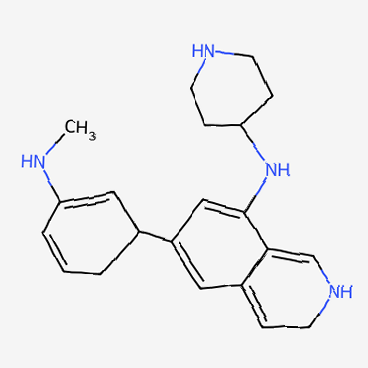 CNC1=CC(c2cc(NC3CCNCC3)c3c(c2)=CCNC=3)CC=C1